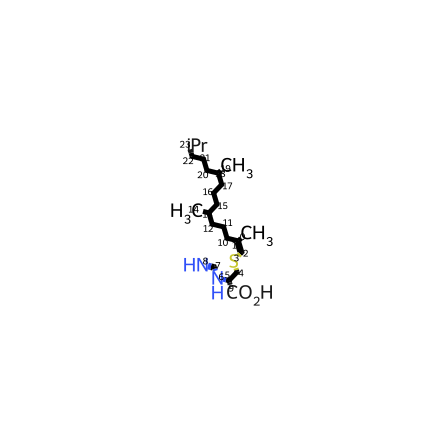 CC(=CSCC(NC=N)C(=O)O)CCCC(C)CCCC(C)CCCC(C)C